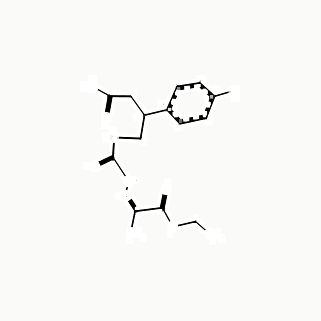 CCOC(=O)C(C)=NOC(=O)NCC(CC(=O)O)c1ccc(Cl)cc1